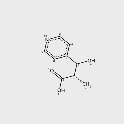 C[C@H](C(=O)O)C(O)c1ccncc1